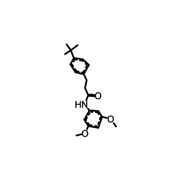 COc1cc(NC(=O)CCc2ccc(C(C)(C)C)cc2)cc(OC)c1